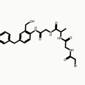 CC(NC(=O)CNC(=O)CBr)C(=O)NCC(=O)Nc1ccc(Cc2ccccc2)cc1CO